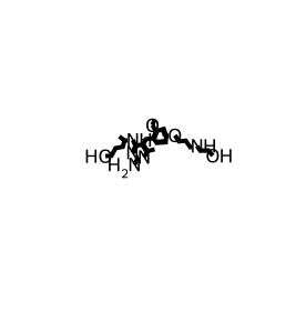 COc1cc(OCCCNCCO)ccc1Cc1c(C)nc(N)nc1NC(C)CCCO